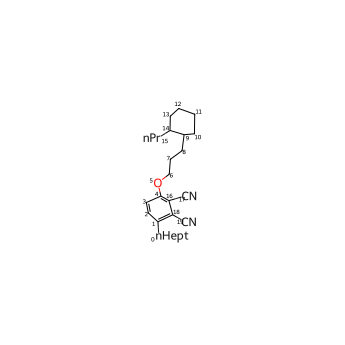 CCCCCCCc1ccc(OCCCC2CCCCC2CCC)c(C#N)c1C#N